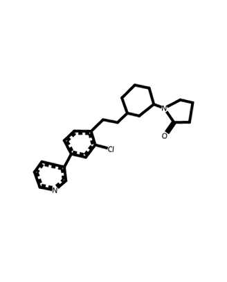 O=C1CCCN1C1CCCC(CCc2ccc(-c3cccnc3)cc2Cl)C1